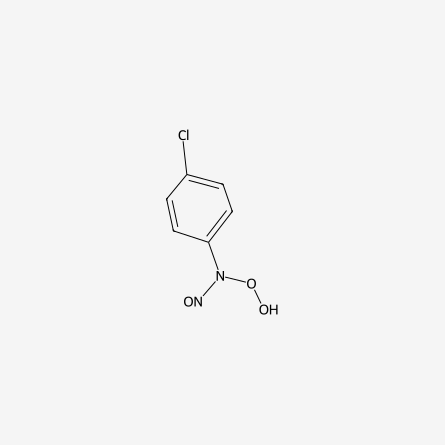 O=NN(OO)c1ccc(Cl)cc1